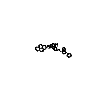 O=C(CCCOCC(O)CNc1cc2ccc3cccc4ccc(c1)c2c34)OCc1ccccc1